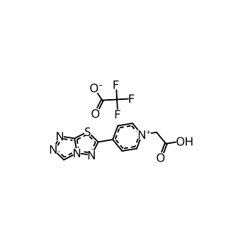 O=C(O)C[n+]1ccc(-c2nn3cnnc3s2)cc1.O=C([O-])C(F)(F)F